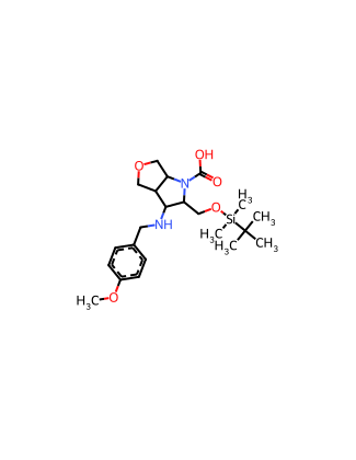 COc1ccc(CNC2C3COCC3N(C(=O)O)C2CO[Si](C)(C)C(C)(C)C)cc1